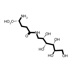 N[C@H](CCC(=O)NC[C@H](O)[C@@H](O)[C@H](O)[C@H](O)CO)C(=O)O